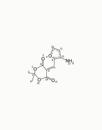 CC1(C)OC(=O)C(=Cc2occc2N)C(=O)O1